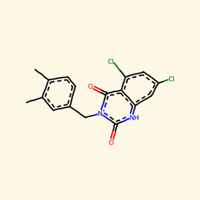 Cc1ccc(Cn2c(=O)[nH]c3cc(Cl)cc(Cl)c3c2=O)cc1C